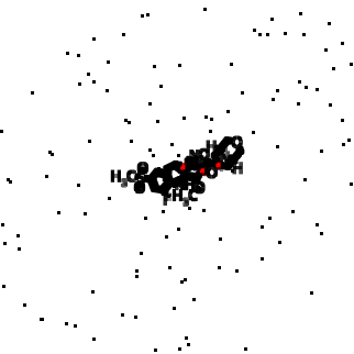 COc1c(Nc2ccc(S(C)(=O)=O)cc2F)ncnc1O[C@H]1C[C@H]2COC[C@@H](C1)N2Cc1nc(-c2ccccc2)no1